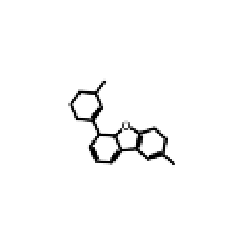 CC1=CC2=C(CC1)OC1C2=CC=CC1C1=CC(C)CCC1